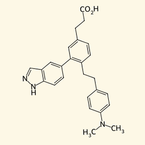 CN(C)c1ccc(CCc2ccc(CCC(=O)O)cc2-c2ccc3[nH]ncc3c2)cc1